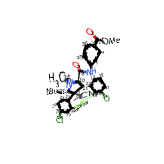 COC(=O)c1ccc(NC(=O)[C@H]2[C@H](c3cccc(Cl)c3F)[C@@](C#N)(c3ccc(Cl)cc3F)[C@H](CC(C)(C)C)N2C)cc1